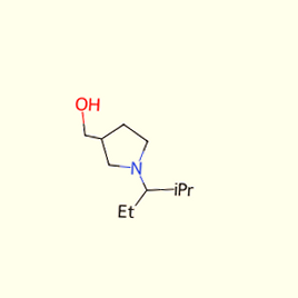 CCC(C(C)C)N1CCC(CO)C1